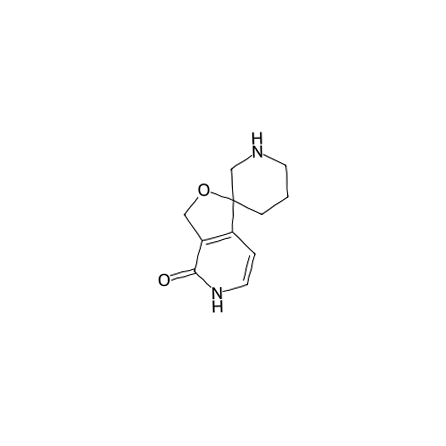 O=c1[nH]ccc2c1COC21CCCNC1